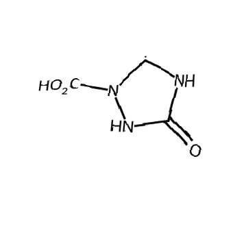 O=C1N[CH]N(C(=O)O)N1